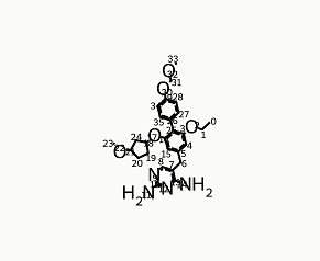 CCOc1cc(Cc2cnc(N)nc2N)cc(OC2CCC(OC)C2)c1-c1ccc(OCOC)cc1